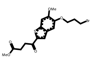 COC(=O)CCC(=O)c1cc2cc(OCCCBr)c(OC)cc2s1